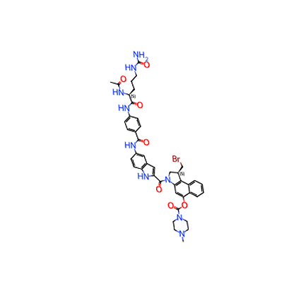 CC(=O)N[C@@H](CCCNC(N)=O)C(=O)Nc1ccc(C(=O)Nc2ccc3[nH]c(C(=O)N4C[C@@H](CBr)c5c4cc(OC(=O)N4CCN(C)CC4)c4ccccc54)cc3c2)cc1